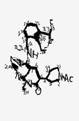 CC(=O)N1CCC(c2cc3c(N[C@H](C)c4cccc(C(F)F)c4CF)ncnc3n(C)c2=O)CC1